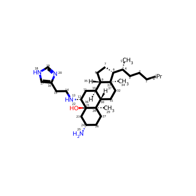 CC(C)CCC[C@@H](C)[C@H]1CC[C@H]2[C@@H]3C[C@@H](NCCc4c[nH]cn4)[C@@]4(O)C[C@@H](N)CC[C@]4(C)[C@H]3CC[C@]12C